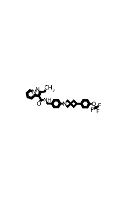 CCc1nn2ccccc2c1C(=O)NCc1ccc(N2CC3(CC(c4ccc(OC(F)(F)F)cc4)C3)C2)cc1